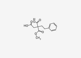 COC(=O)C(CCc1ccccc1)(CC(=O)O)C(=O)O